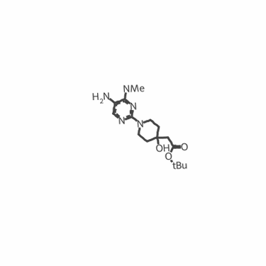 CNc1nc(N2CCC(O)(CC(=O)OC(C)(C)C)CC2)ncc1N